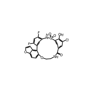 O=C1NCCOc2ccc3occc3c2-c2cc(c(F)cc2F)NS(=O)(=O)c2cc1cc(Cl)c2O